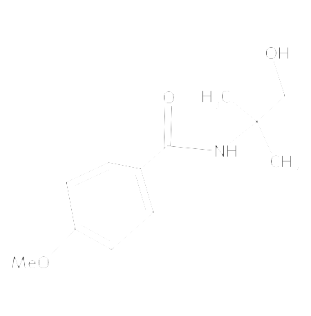 COc1ccc(C(=O)NC(C)(C)CO)cc1